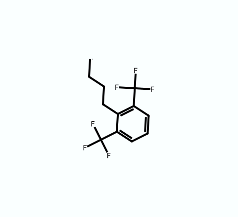 [CH2]CCCc1c(C(F)(F)F)cccc1C(F)(F)F